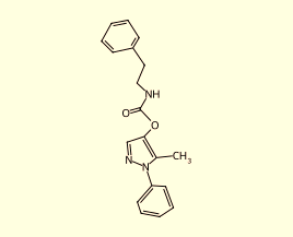 Cc1c(OC(=O)NCCc2ccccc2)cnn1-c1ccccc1